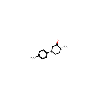 Cc1ccc([C@@H]2CC[C@@H](C)C(=O)C2)cc1